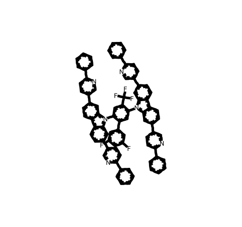 Fc1cc(F)cc(-c2cc(-n3c4cc(-c5ccc(-c6ccccc6)nc5)ccc4c4ccc(-c5ccc(-c6ccccc6)nc5)cc43)c(C(F)(F)F)cc2-n2c3cc(-c4ccc(-c5ccccc5)nc4)ccc3c3ccc(-c4ccc(-c5ccccc5)nc4)cc32)c1